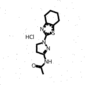 CC(=O)NC1=NN(c2nc3c(s2)CCCC3)CC1.Cl